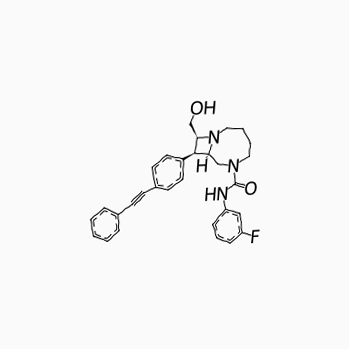 O=C(Nc1cccc(F)c1)N1CCCCN2[C@H](CO)[C@H](c3ccc(C#Cc4ccccc4)cc3)[C@@H]2C1